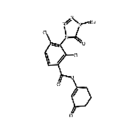 CCCCn1nnn(-c2c(Cl)ccc(C(=O)OC3=CC(=O)CCC3)c2Cl)c1=O